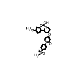 COc1ccc(C2CC(Oc3ccn(-c4ccc(S(C)(=O)=O)cc4)c(=O)c3)CCN2C(=O)O)cc1